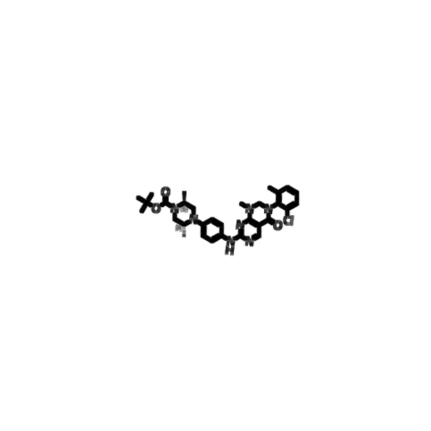 Cc1cccc(Cl)c1N1CN(C)c2nc(Nc3ccc(N4C[C@H](C)N(C(=O)OC(C)(C)C)C[C@H]4C)cc3)ncc2C1=O